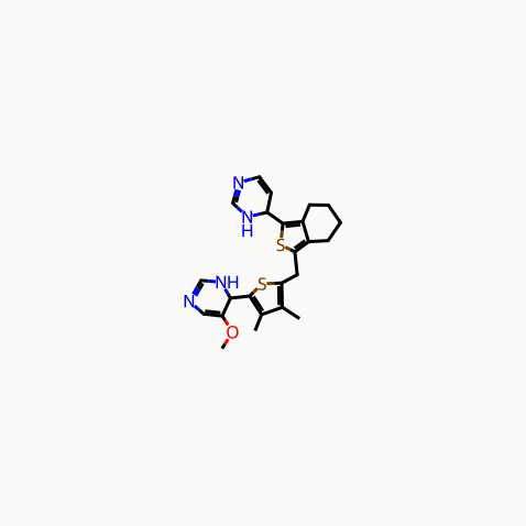 COC1=CN=CNC1c1sc(Cc2sc(C3C=CN=CN3)c3c2CCCC3)c(C)c1C